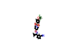 N#Cc1cccc(/C(=N/OC2CCN(S(=O)(=O)c3ccc(OC(F)(F)F)cc3)CC2)C2CC2)c1